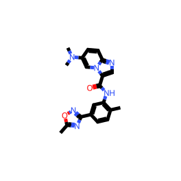 Cc1nc(-c2ccc(C)c(NC(=O)c3cnc4ccc(N(C)C)cn34)c2)no1